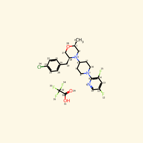 C[C@H]1CN(C2CCN(c3ncc(F)cc3F)CC2)[C@@H](Cc2ccc(Cl)cc2)CO1.O=C(O)C(F)(F)F